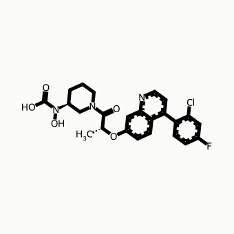 C[C@@H](Oc1ccc2c(-c3ccc(F)cc3Cl)ccnc2c1)C(=O)N1CCC[C@H](N(O)C(=O)O)C1